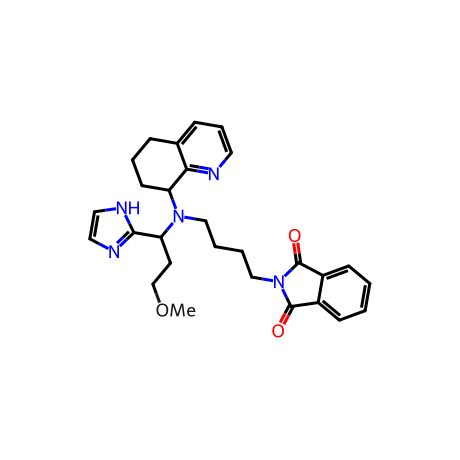 COCCC(c1ncc[nH]1)N(CCCCN1C(=O)c2ccccc2C1=O)C1CCCc2cccnc21